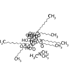 CCCCCCCCCCC[C@H](CC(=O)N[C@H]1[C@H](OC[C@H](NC(=O)C[C@@H](CCCCCCCCCCC)OC(=O)CCCCCCC)C(=O)O)O[C@H](CO)[C@@H](OP(=O)(O)O)[C@@H]1OC(=O)C[C@@H](CCCCCCCCCCC)C(=O)CCCCCCC)OC(=O)CCCCCCC.CCN(CC)CC